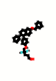 OCCCC(F)(F)COc1ccc([C@@H]2c3ccc(OCc4ccccc4)cc3CC[C@@H]2c2ccccc2)cc1